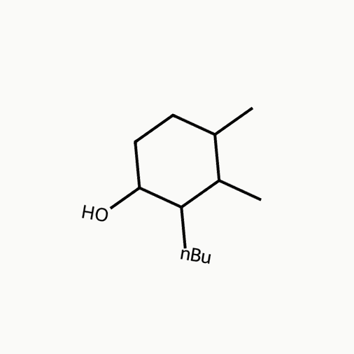 CCCCC1C(O)CCC(C)C1C